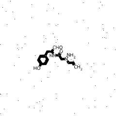 C=CCN(N)CC(=O)NC(C=O)Cc1ccc(O)cc1